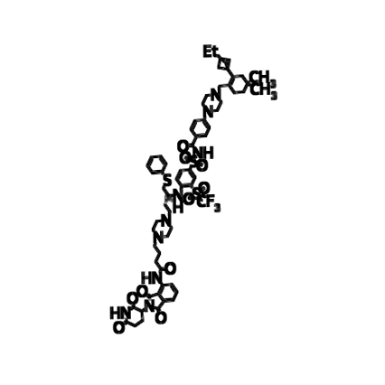 CCC12CC(C3=C(CN4CCN(c5ccc(C(=O)NS(=O)(=O)c6ccc(N[C@H](CCN7CCN(CCCC(=O)Nc8cccc9c8C(=O)N(C8CCC(=O)NC8=O)C9=O)CC7)CSc7ccccc7)c(S(=O)(=O)C(F)(F)F)c6)cc5)CC4)CCC(C)(C)C3)(C1)C2